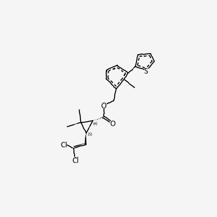 Cc1c(COC(=O)[C@@H]2[C@@H](C=C(Cl)Cl)C2(C)C)cccc1-c1cccs1